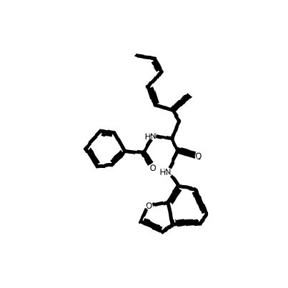 C=C(/C=C\C=C/C)CC(NC(=O)c1ccccc1)C(=O)Nc1cccc2ccoc12